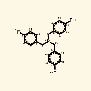 Fc1ccc(CP(Cc2ccc(F)cc2)Cc2ccc(F)cc2)cc1